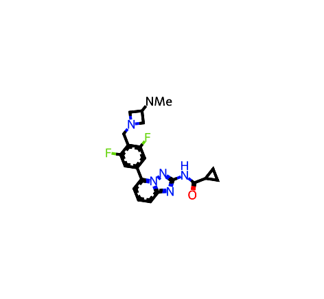 CNC1CN(Cc2c(F)cc(-c3cccc4nc(NC(=O)C5CC5)nn34)cc2F)C1